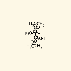 C=C(C)C(=O)Oc1cc(F)c(-c2ccc(OC(=O)C(=C)C)c(COCC)c2)c(COCC)c1